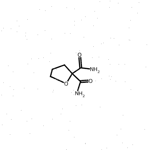 NC(=O)C1(C(N)=O)CCCO1